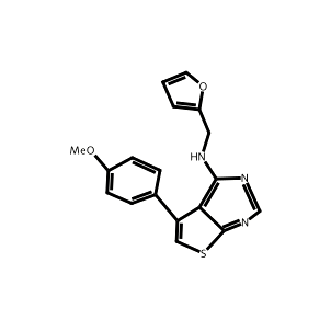 COc1ccc(-c2csc3ncnc(NCc4ccco4)c23)cc1